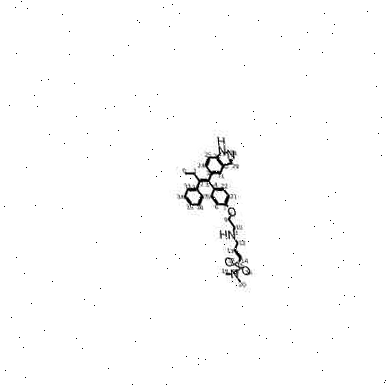 CC/C(=C(/c1ccc(OCCNC/C=C/S(=O)(=O)N(C)C)cc1)c1ccc2[nH]ncc2c1)c1ccccc1